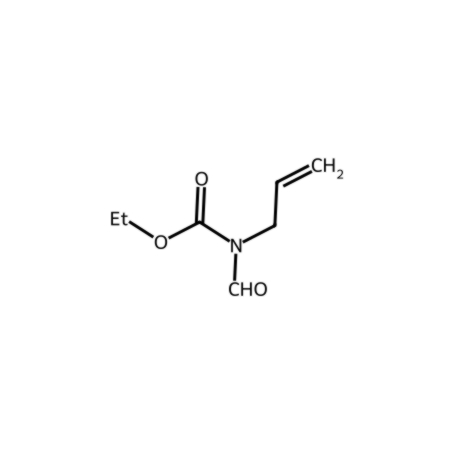 C=CCN(C=O)C(=O)OCC